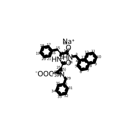 O=C(NCc1cccc2ccccc12)[C@H](Cc1ccccc1)NC(=O)[C@@H]1[C@@H](C(=O)[O-])N1Cc1ccccc1.[Na+]